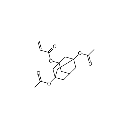 C=CC(=O)OC12CC3CC(OC(C)=O)(CC(OC(C)=O)(C3)C1)C2